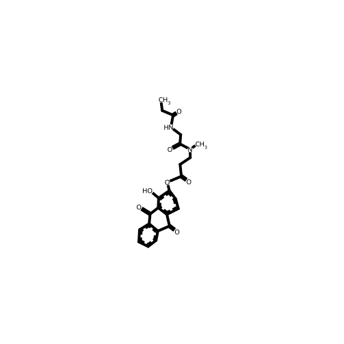 CCC(=O)NCC(=O)N(C)CCC(=O)Oc1ccc2c(c1O)C(=O)c1ccccc1C2=O